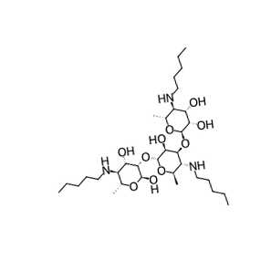 CCCCCN[C@H]1[C@H](O)[C@H](O)[C@@H](O[C@@H]2[C@H](O)[C@@H](O[C@H]3[C@@H](O)[C@H](NCCCCC)[C@@H](C)O[C@@H]3O)O[C@H](C)[C@H]2NCCCCC)O[C@@H]1C